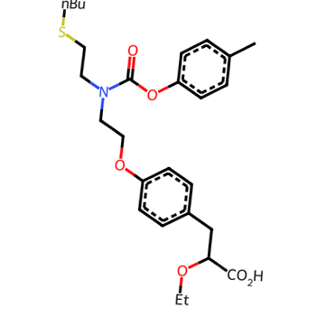 CCCCSCCN(CCOc1ccc(CC(OCC)C(=O)O)cc1)C(=O)Oc1ccc(C)cc1